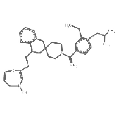 C=C(c1ccc(CC(C)C)c(CC)c1)N1CCC2(CC1)Cc1ccccc1C(CCC1=CN(C)CC=CC1)C2